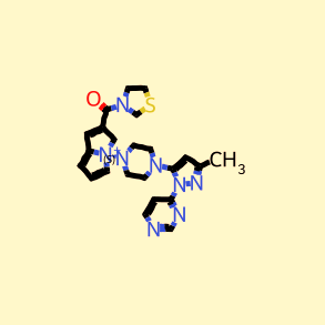 Cc1cc(N2CCN([N@@+]34C=CC=C3C=C(C(=O)N3CCSC3)C4)CC2)n(-c2ccncn2)n1